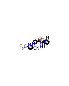 N#Cc1ccc(C(F)(F)F)nc1N1CC[C@H](C(=O)N[C@@H]2C[C@@H]3CC[C@H]2N3C#N)C1